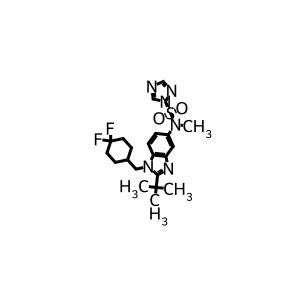 CN(c1ccc2c(c1)nc(C(C)(C)C)n2CC1CCC(F)(F)CC1)S(=O)(=O)n1cncn1